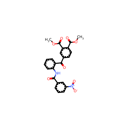 COC(=O)c1ccc(C(=O)c2ccccc2NC(=O)c2cccc([N+](=O)[O-])c2)cc1C(=O)OC